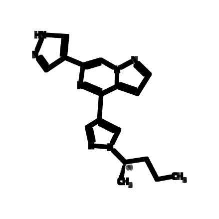 CCC[C@H](C)n1cc(-c2nc(-c3cn[nH]c3)cn3nccc23)cn1